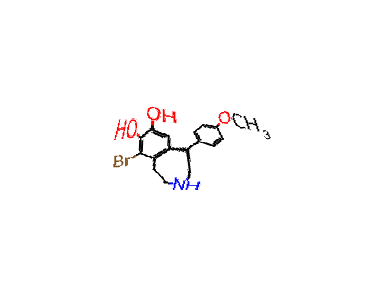 COc1ccc(C2CNCCc3c2cc(O)c(O)c3Br)cc1